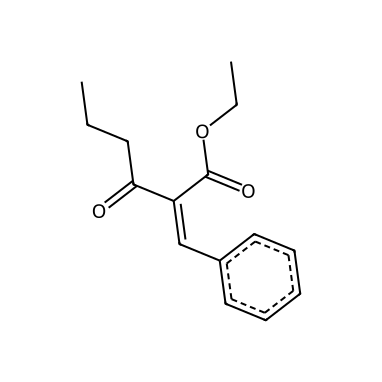 CCCC(=O)C(=Cc1ccccc1)C(=O)OCC